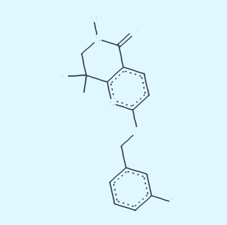 CN1CC(C)(C)c2nc(OCc3cccc(F)c3)ccc2C1=O